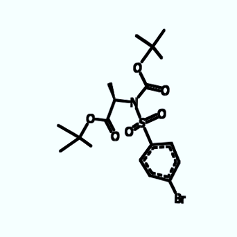 C[C@H](C(=O)OC(C)(C)C)N(C(=O)OC(C)(C)C)S(=O)(=O)c1ccc(Br)cc1